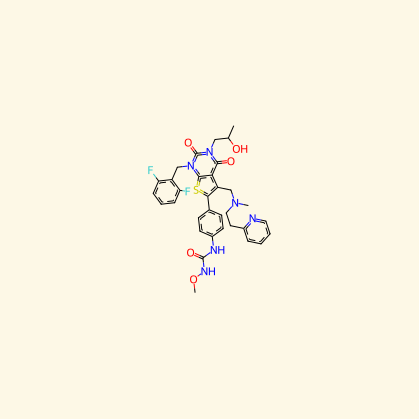 CONC(=O)Nc1ccc(-c2sc3c(c2CN(C)CCc2ccccn2)c(=O)n(CC(C)O)c(=O)n3Cc2c(F)cccc2F)cc1